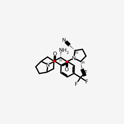 C#C[C@H]1CC[C@@H](C#N)N1C(=O)[C@@H](N)C1CC2CCC(C1)N2C(=O)c1ccc(C(F)(F)F)cc1